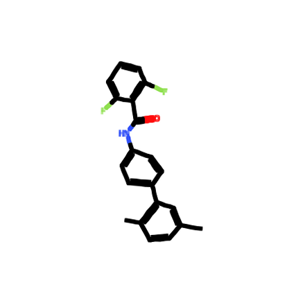 Cc1ccc(C)c(-c2ccc(NC(=O)c3c(F)cccc3F)cc2)c1